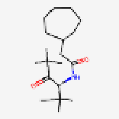 CC(C)(C)C(=O)[C@@H](NC(=O)CC1CCCCCC1)C(C)(C)C